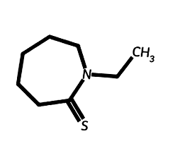 CCN1CCCCCC1=S